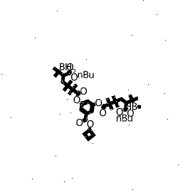 BC(C)(C)C(CC(C)(C)C(C)(C)C(=O)Oc1cc(OC(=O)C(C)(C)C(C)(C)CC(C(=O)OCCCC)C(C)(C)BC)cc(C(=O)OC2CCC2)c1)C(=O)OCCCC